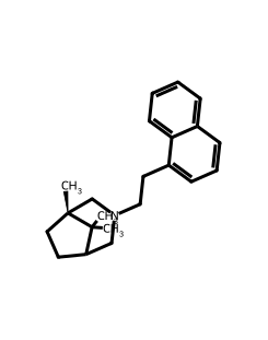 CC1(C)C2CC[C@]1(C)CN(CCc1cccc3ccccc13)C2